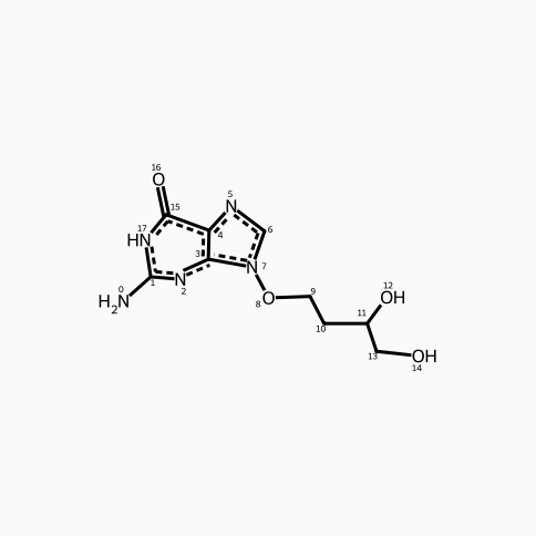 Nc1nc2c(ncn2OCCC(O)CO)c(=O)[nH]1